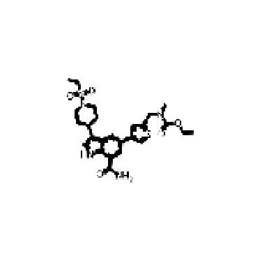 CCOC(=O)N(C)Cc1cc(-c2cc(C(N)=O)c3[nH]cc(C4CCN(S(=O)(=O)CC)CC4)c3c2)cs1